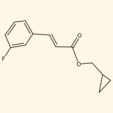 O=C(C=Cc1cccc(F)c1)OCC1CC1